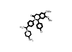 CCC(C)Oc1cc2c(cc1OC)CC(=O)N(c1ccc(C(C)N3CCC(N)CC3)cc1)C2c1ccc(Cl)cc1